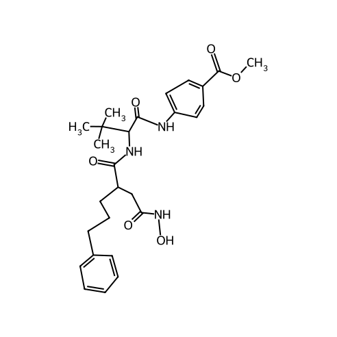 COC(=O)c1ccc(NC(=O)C(NC(=O)C(CCCc2ccccc2)CC(=O)NO)C(C)(C)C)cc1